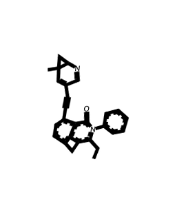 CCc1c2c3c(ccc(C#CC4=CC5(C)CC5N=C4)c3c(=O)n1-c1ccccc1)C2